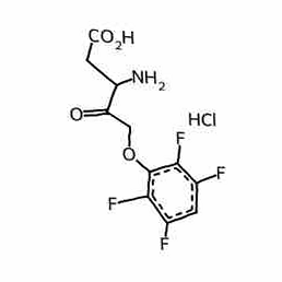 Cl.NC(CC(=O)O)C(=O)COc1c(F)c(F)cc(F)c1F